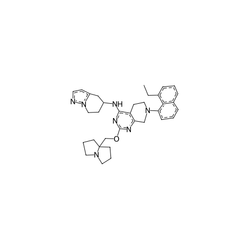 CCc1cccc2cccc(N3CCc4c(nc(OCC56CCCN5CCC6)nc4NC4CCn5nccc5C4)C3)c12